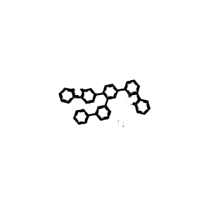 N#Cc1cc(-c2ccccc2)cc(-c2cc(-c3cccc4c3sc3ccccc34)ccc2-c2ccc3c(c2)sc2ccccc23)c1